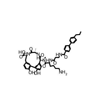 CCCc1ccc(-c2ccc(C(=O)NCCC(=O)NC(CCCCN)C(=O)N(C)[C@@H]3C(=O)N[C@@H](C)C(=O)N[C@H](C(=O)O)Cc4ccc(O)c(c4)-c4cc3ccc4O)cc2)cc1